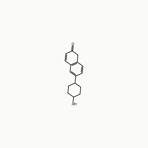 CCCC1CCC(c2ccc3c(c2)C=CC(=O)C3)CC1